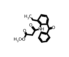 CCc1cccc(C(=O)c2ccccc2)c1NC(=O)CC(=O)OC